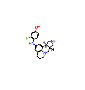 COc1ccc(Nc2cc3c4c(c2)[C@@H]2CNC[C@@H]2CN4CCC3)c(F)c1